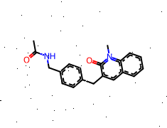 CC(=O)NCc1ccc(Cc2cc3ccccc3n(C)c2=O)cc1